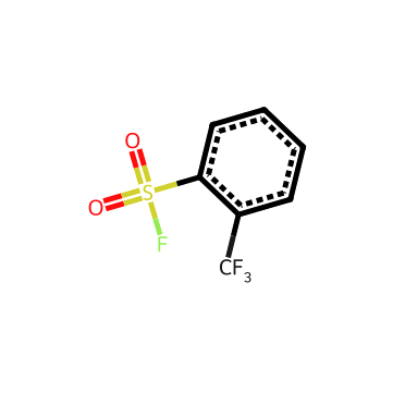 O=S(=O)(F)c1ccccc1C(F)(F)F